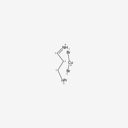 CCCCCC=N.[Br][Cu][Br]